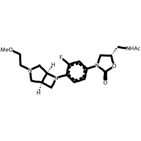 COCCN1C[C@@H]2CN(c3ccc(N4C[C@H](CNC(C)=O)OC4=O)cc3F)[C@@H]2C1